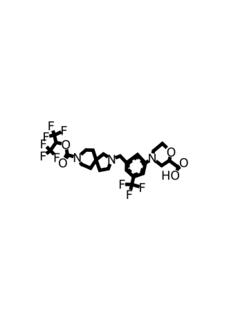 O=C(O)C1CN(c2cc(CN3CCC4(CCN(C(=O)OC(C(F)(F)F)C(F)(F)F)CC4)C3)cc(C(F)(F)F)c2)CCO1